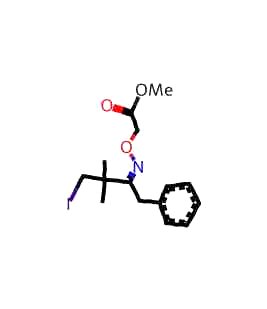 COC(=O)CON=C(Cc1ccccc1)C(C)(C)CI